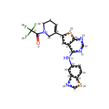 O=C(N1CCC=C(c2cc3c(Nc4ccc5scnc5c4)ncnc3s2)C1)C(F)(F)F